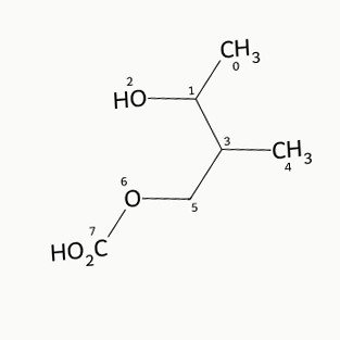 CC(O)C(C)COC(=O)O